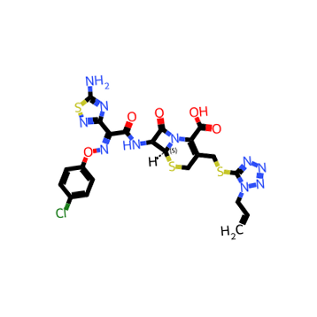 C=CCn1nnnc1SCC1=C(C(=O)O)N2C(=O)C(NC(=O)C(=NOc3ccc(Cl)cc3)c3nsc(N)n3)[C@@H]2SC1